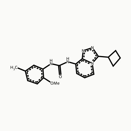 COc1ccc(C)cc1NC(=O)Nc1cccn2c(C3CCC3)nnc12